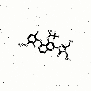 CCn1c(CO)nn(-c2cc(OC(C)C(F)(F)F)c3c(Oc4c(F)ccc(OC)c4Cl)nccc3c2)c1=O